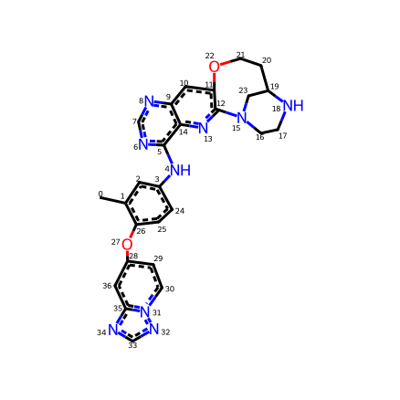 Cc1cc(Nc2ncnc3cc4c(nc23)N2CCNC(CCO4)C2)ccc1Oc1ccn2ncnc2c1